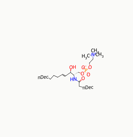 CCCCCCCCCCCCC/C=C/[C@@H](O)[C@H](COP(=O)([O-])OCC[N+](C)(C)C)NC(=O)CCCCCCCCCCC